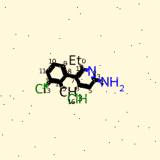 CCc1nc(N)ccc1-c1cccc(Cl)c1C.Cl